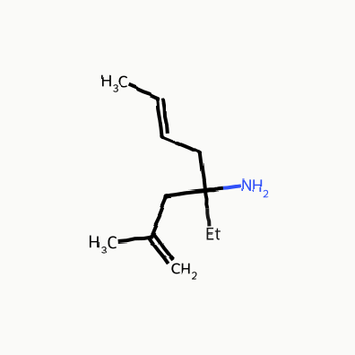 C=C(C)CC(N)(CC)C/C=C/C